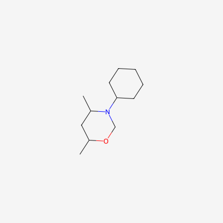 CC1CC(C)N(C2CCCCC2)CO1